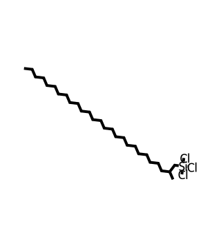 CCCCCCCCCCCCCCCCCCCCCCCCCC(C)C[Si](Cl)(Cl)Cl